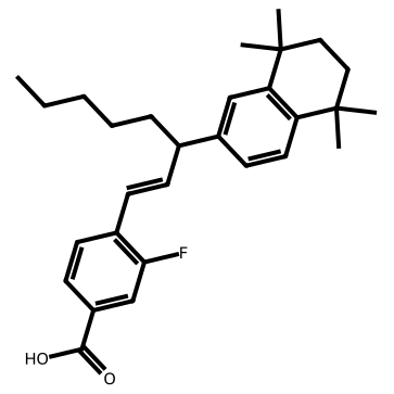 CCCCCC(C=Cc1ccc(C(=O)O)cc1F)c1ccc2c(c1)C(C)(C)CCC2(C)C